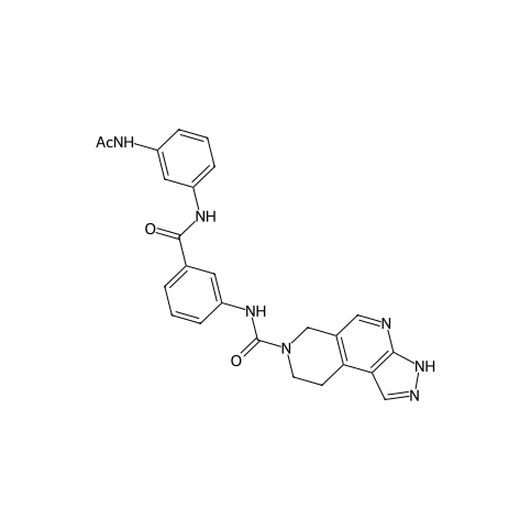 CC(=O)Nc1cccc(NC(=O)c2cccc(NC(=O)N3CCc4c(cnc5[nH]ncc45)C3)c2)c1